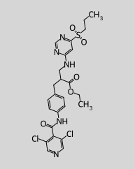 CCCS(=O)(=O)c1cc(NCC(Cc2ccc(NC(=O)c3c(Cl)cncc3Cl)cc2)C(=O)OCC)ncn1